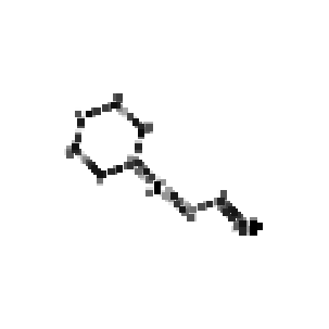 N=CC=C=C1CCCCC1